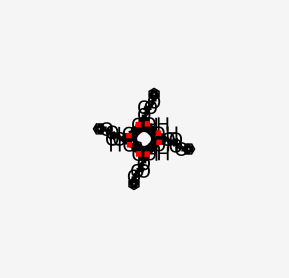 O=C(COc1ccc(C2c3cc(c(O)cc3O)C(c3ccc(OCC(=O)OCOC4CCCCC4)cc3)c3cc(c(O)cc3O)C(c3ccc(OCC(=O)OCOC4CCCCC4)cc3)c3cc(c(O)cc3O)C(c3ccc(OCC(=O)OCOC4CCCCC4)cc3)c3cc2c(O)cc3O)cc1)OCOC1CCCCC1